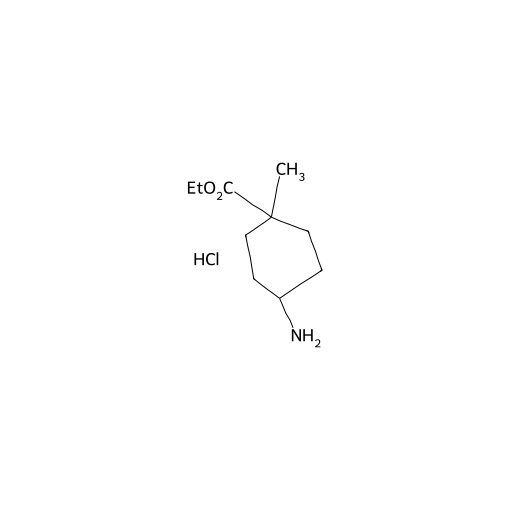 CCOC(=O)C1(C)CCC(N)CC1.Cl